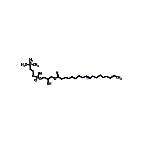 CCCCCCCC/C=C/CCCCCCCC(=O)OCC(O)COP(=O)(O)OCC[N+](C)(C)C